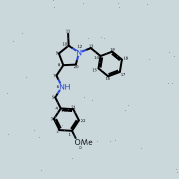 COc1ccc(CNCC2CC(C)N(Cc3ccccc3)C2)cc1